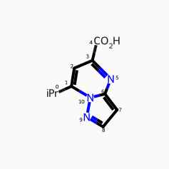 CC(C)c1cc(C(=O)O)nc2ccnn12